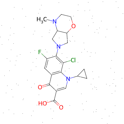 CN1CCOC2CN(c3c(F)cc4c(=O)c(C(=O)O)cn(C5CC5)c4c3Cl)CC21